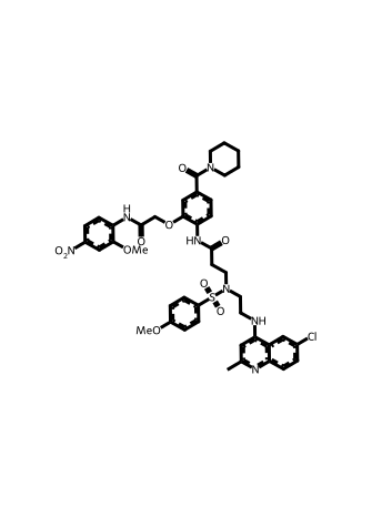 COc1ccc(S(=O)(=O)N(CCNc2cc(C)nc3ccc(Cl)cc23)CCC(=O)Nc2ccc(C(=O)N3CCCCC3)cc2OCC(=O)Nc2ccc([N+](=O)[O-])cc2OC)cc1